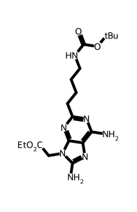 CCOC(=O)Cn1c(N)nc2c(N)nc(CCCCNC(=O)OC(C)(C)C)nc21